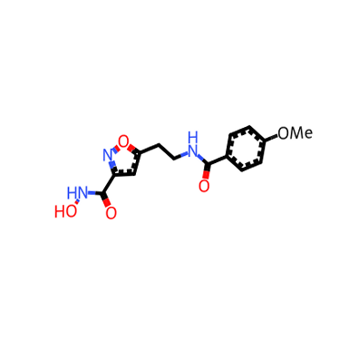 COc1ccc(C(=O)NCCc2cc(C(=O)NO)no2)cc1